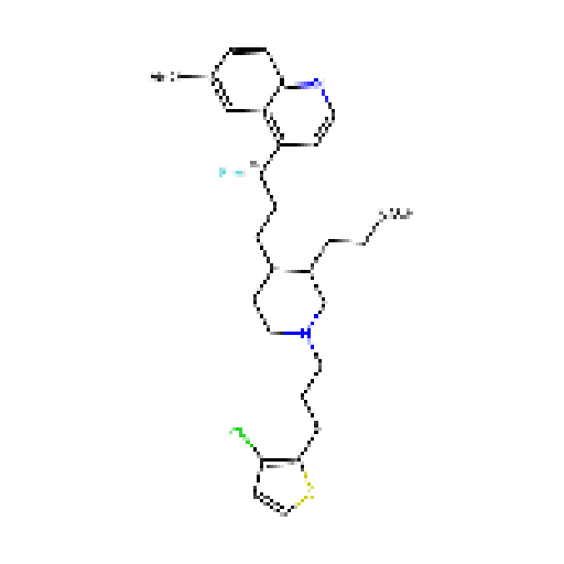 COc1ccc2nccc([C@@H](F)CCC3CCN(CCCc4sccc4Cl)CC3CCC(=O)O)c2c1